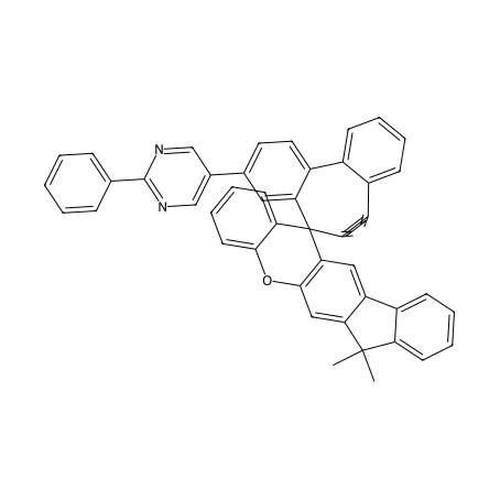 CC1(C)c2ccccc2-c2cc3c(cc21)Oc1ccccc1C31c2ccccc2-c2ccccc2-c2ccc(-c3cnc(-c4ccccc4)nc3)cc21